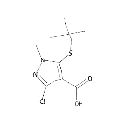 Cn1nc(Cl)c(C(=O)O)c1SC(C)(C)C